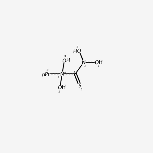 CCC[N+](O)(O)C(=S)N(O)O